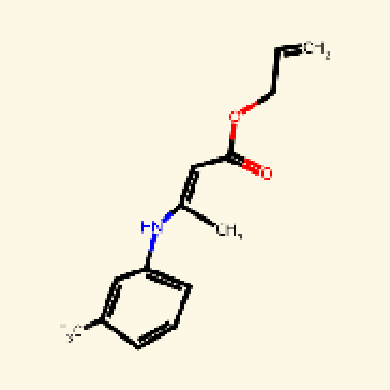 C=CCOC(=O)/C=C(\C)Nc1cccc(C(F)(F)F)c1